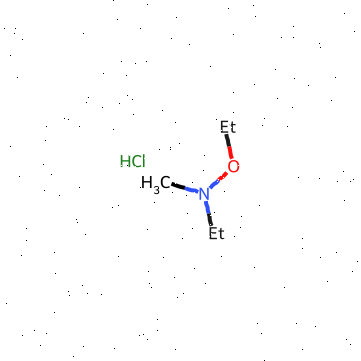 CCON(C)CC.Cl